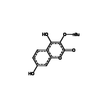 CCCCOc1c(O)c2ccc(O)cc2oc1=O